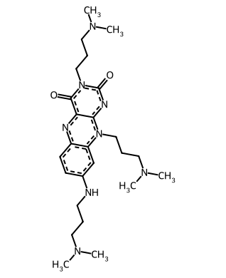 CN(C)CCCNc1ccc2nc3c(=O)n(CCCN(C)C)c(=O)nc-3n(CCCN(C)C)c2c1